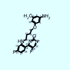 [CH2]c1cc(N)cc(OCCCCNc2cc(F)ccc2-c2nc(Cl)ncc2F)c1